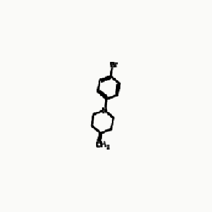 C=C1CCN(c2ccc(Br)cc2)CC1